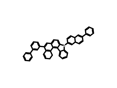 C1=Cc2c(-c3cccc(-c4ccccc4)c3)cc3ccc4c(c5ccccc5n4C4=CC5C=CC(c6ccccc6)=CC5C=C4)c3c2CC1